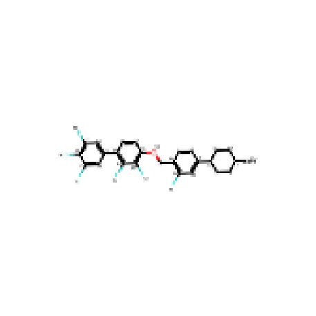 CCCC1CCC(c2ccc(COc3ccc(-c4cc(F)c(F)c(F)c4)c(F)c3F)c(F)c2)CC1